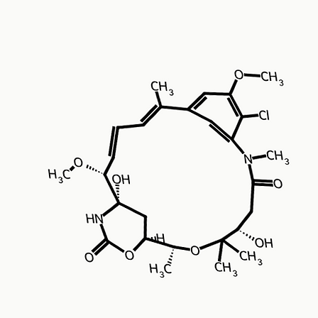 COc1cc2cc(c1Cl)N(C)C(=O)C[C@H](O)C(C)(C)O[C@H](C)[C@@H]1C[C@@](O)(NC(=O)O1)[C@H](OC)/C=C/C=C/2C